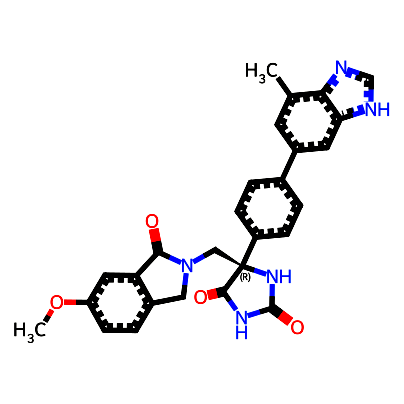 COc1ccc2c(c1)C(=O)N(C[C@@]1(c3ccc(-c4cc(C)c5nc[nH]c5c4)cc3)NC(=O)NC1=O)C2